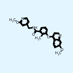 COc1ccc2c(Oc3cccc(C(=O)NCc4ccnc(OC)c4)c3C)ccnc2c1